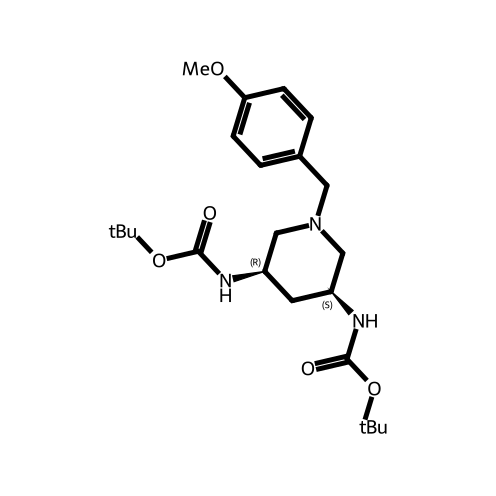 COc1ccc(CN2C[C@H](NC(=O)OC(C)(C)C)C[C@H](NC(=O)OC(C)(C)C)C2)cc1